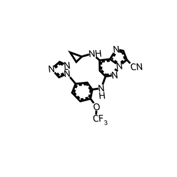 N#Cc1cnc2c(NC3CC3)cc(Nc3cc(-n4cncn4)ccc3OC(F)(F)F)nn12